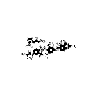 CC(C)C(=O)Nc1ccc([N+](=O)[O-])c(C(F)(F)F)c1.COCC(O)Cn1ccnc1[N+](=O)[O-].COc1cc(NCc2ccc3nc(N)nc(N)c3c2C)cc(OC)c1OC